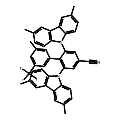 Cc1cc(-c2c(-n3c4ccc(C)cc4c4cc(C)ccc43)cc(C#N)cc2-n2c3ccc(C)cc3c3cc(C)ccc32)cc(C(F)(F)F)c1